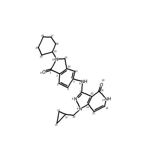 O=C1c2ccc(Nc3nn(CC4CC4)c4cc[nH]c(=O)c34)cc2CN1C1CCCCC1